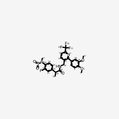 COc1ccc(-c2nc(C(F)(F)F)ccc2CNC(=O)C(C)c2ccc(N(C)[SH](=O)=O)c(F)c2)cc1OC